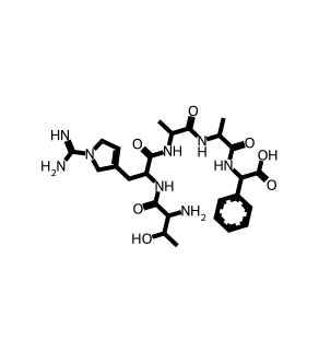 CC(NC(=O)C(C)NC(=O)C(CC1=CCN(C(=N)N)C1)NC(=O)C(N)C(C)O)C(=O)NC(C(=O)O)c1ccccc1